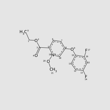 CCOC(=O)c1ccc(Oc2ccc(F)cc2F)c[n+]1OC